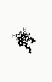 CC/C=C\C=C/CC(c1ccccc1)N1CN(CC2CC2)C(=O)c2c(O)c(=O)c(C(=O)O)cn21